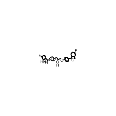 O[C@@H](COc1ccc(-c2occ3cc(F)ccc23)cc1)CN1CCN(c2n[nH]c3cc(F)ccc23)CC1